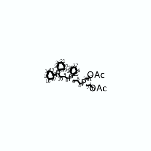 CC(=O)OCCP(CCCP(CCCP(c1ccccc1)c1ccccc1)c1ccccc1)CCOC(C)=O